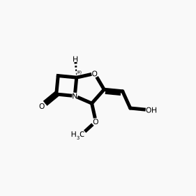 COC1C(=CCO)O[C@@H]2CC(=O)N12